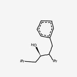 CC(C)C[C@@H](O)C(Cc1ccccc1)C(C)C